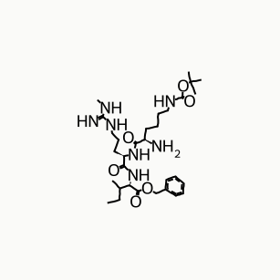 CCC(C)[C@H](NC(=O)[C@@H](CCCNC(=N)NC)NC(=O)[C@H](N)CCCCNC(=O)OC(C)(C)C)C(=O)OCc1ccccc1